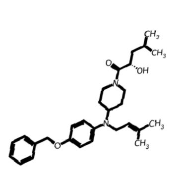 CC(C)=CCN(c1ccc(OCc2ccccc2)cc1)C1CCN(C(=O)[C@@H](O)CC(C)C)CC1